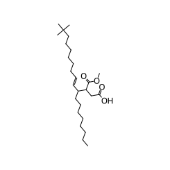 CCCCCCCCC(/C=C/CCCCCCC(C)(C)C)C(CC(=O)O)C(=O)OC